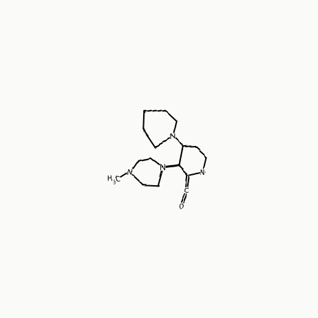 CN1CCN(C2C(=C=O)[N]CCC2N2CCCCC2)CC1